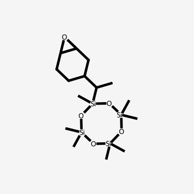 CC(C1CCC2OC2C1)[Si]1(C)O[Si](C)(C)O[Si](C)(C)O[Si](C)(C)O1